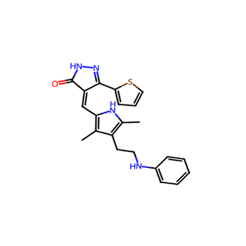 Cc1[nH]c(/C=C2/C(=O)NN=C2c2cccs2)c(C)c1CCNc1ccccc1